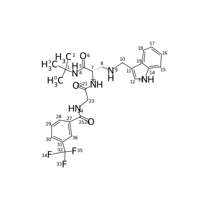 CC(C)(C)NC(=O)[C@H](CNCc1c[nH]c2ccccc12)NC(=O)CNC(=O)c1cccc(C(F)(F)F)c1